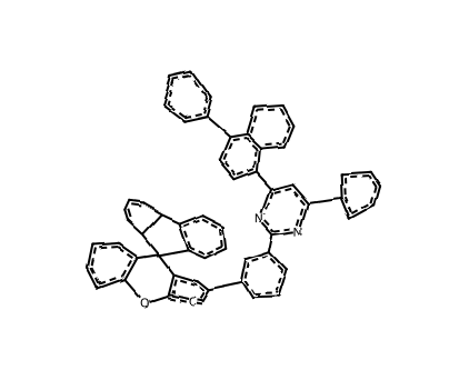 C1=CC2c3ccccc3C3(c4ccccc4Oc4ccc(-c5cccc(-c6nc(-c7ccccc7)cc(-c7ccc(-c8ccccc8)c8ccccc78)n6)c5)cc43)C2C=C1